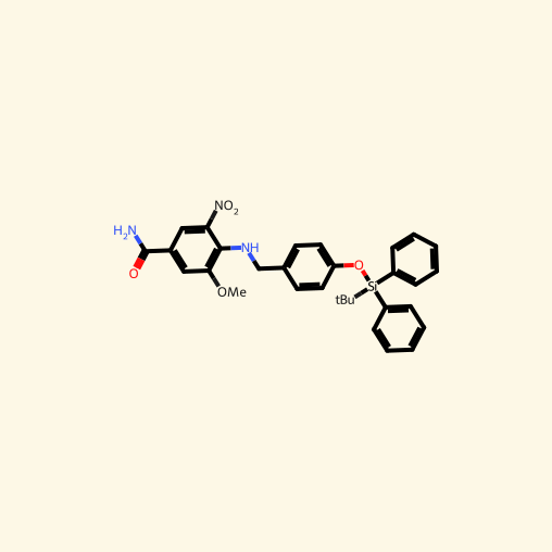 COc1cc(C(N)=O)cc([N+](=O)[O-])c1NCc1ccc(O[Si](c2ccccc2)(c2ccccc2)C(C)(C)C)cc1